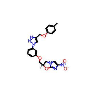 Cc1ccc(OCc2cn(-c3cccc(OC[C@@]4(C)Cn5cc([N+](=O)[O-])nc5O4)c3)nn2)cc1